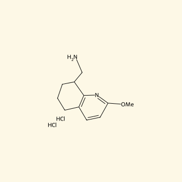 COc1ccc2c(n1)C(CN)CCC2.Cl.Cl